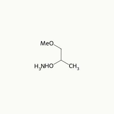 COCC(C)O.N